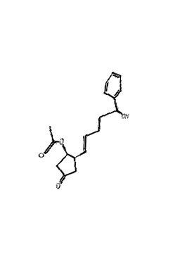 CC(=O)O[C@@H]1CC(=O)C[C@@H]1/C=C/CCC(O)c1ccccc1